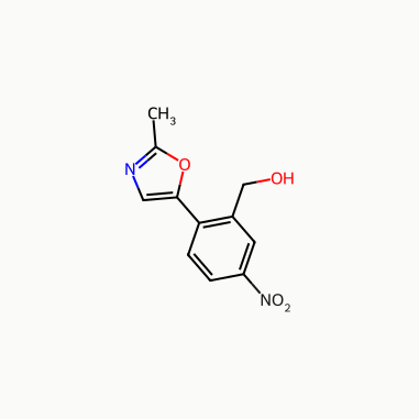 Cc1ncc(-c2ccc([N+](=O)[O-])cc2CO)o1